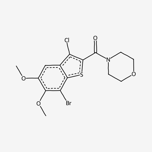 COc1cc2c(Cl)c(C(=O)N3CCOCC3)sc2c(Br)c1OC